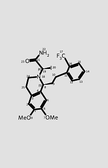 COc1cc2c(cc1OC)[C@H](CCc1ccccc1C(F)(F)F)N([C@H](I)C(N)=O)CC2